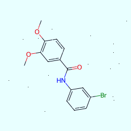 COc1ccc(C(=O)Nc2cccc(Br)c2)cc1OC